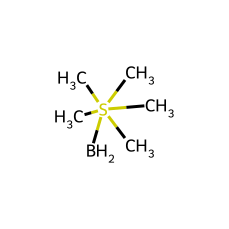 BS(C)(C)(C)(C)C